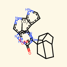 O=C(O)c1noc(C23CC4CC(C2)C(n2c(=O)[nH]c5cnc6[nH]ccc6c52)C(C4)C3)n1